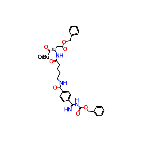 CC(C)COC(=O)[C@H](CC(=O)OCc1ccccc1)NC(=O)CCCCNC(=O)c1ccc(C(=N)NC(=O)OCc2ccccc2)cc1